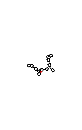 c1ccc(-n2c3ccc(-c4ccc5oc6ccccc6c5c4)cc3c3cc(-c4ccc5c(c4)c4ccccc4n5-c4ccc(-c5ccc6ccccc6c5)cc4)ccc32)cc1